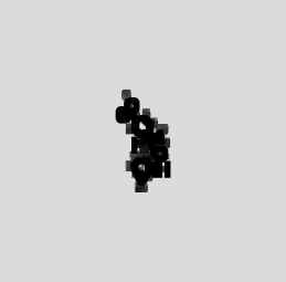 COC(=O)c1ccc(C2(NC(=O)[C@H]3CCC4CC4N3)CC2)cc1